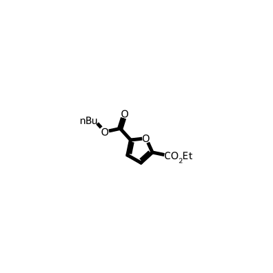 CCCCOC(=O)c1ccc(C(=O)OCC)o1